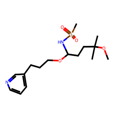 COC(C)(C)CCC(NS(C)(=O)=O)OCCCc1cccnc1